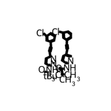 CC(C)(C(=O)Nc1ccc(C#Cc2cccc(Cl)c2)cn1)C(F)(F)F.CC(C)(C)C(=O)Nc1ccc(C#Cc2cccc(Cl)c2)nn1